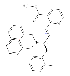 COC(=O)c1cccnc1/C=C/[C@@H](Cc1ccccc1F)N(Cc1ccccc1)Cc1ccccc1